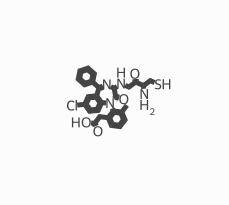 Cc1cccc(CC(=O)O)c1N1C(=O)C(NCC(=O)C(N)CS)N=C(c2ccccc2)c2cc(Cl)ccc21